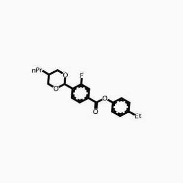 CCCC1COC(c2ccc(C(=O)Oc3ccc(CC)cc3)cc2F)OC1